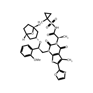 COc1ccccc1[C@H](Cn1c(=O)n([C@H](C)C(=O)NS(=O)(=O)C2(C)CC2)c(=O)c2c(C)c(-c3ncco3)sc21)O[C@H]1C[C@H]2CC[C@@H](C1)O2